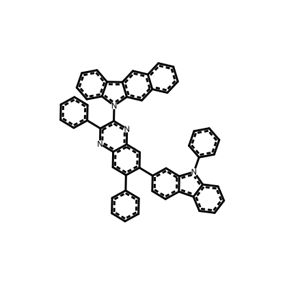 c1ccc(-c2cc3nc(-c4ccccc4)c(-n4c5ccccc5c5cc6ccccc6cc54)nc3cc2-c2ccc3c4ccccc4n(-c4ccccc4)c3c2)cc1